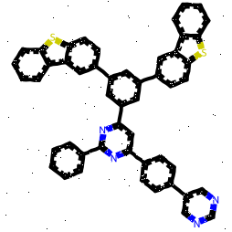 c1ccc(-c2nc(-c3ccc(-c4cncnc4)cc3)cc(-c3cc(-c4ccc5sc6ccccc6c5c4)cc(-c4ccc5sc6ccccc6c5c4)c3)n2)cc1